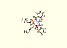 C=CCC1(C/C=C/C)C(=O)N(Cc2ccccc2)C(=O)N(Cc2ccccc2)C1=O